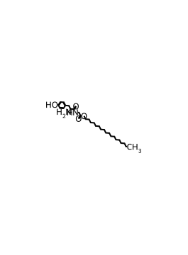 CCCCCCCCCCCCCCCCCCOC(=O)CNC(=O)[C@@H](N)Cc1ccc(O)cc1